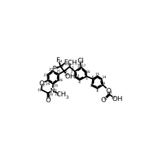 CC(c1ccc(-c2ccc(OC(=O)O)cc2)cc1Cl)C(O)(c1ccc2c(c1)N(C)C(=O)CO2)C(F)(F)F